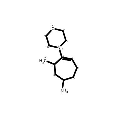 CC1CCC=C(N2CCOCC2)C(C)C1